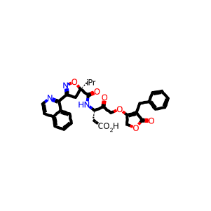 CC(C)[C@]1(C(=O)N[C@@H](CC(=O)O)C(=O)COC2=C(Cc3ccccc3)C(=O)OC2)CC(c2nccc3ccccc23)=NO1